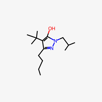 CCCCc1nn(CC(C)C)c(O)c1C(C)(C)C